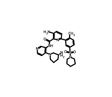 Cc1ccc(S(=O)(=O)N2CCCCC2)cc1-c1ccc(N)c(C(=O)Nc2cnccc2N2CCC[C@H](N)C2)n1